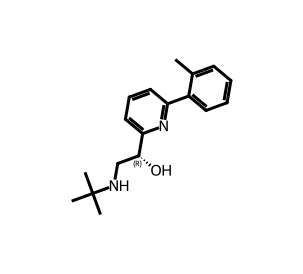 Cc1ccccc1-c1cccc([C@H](O)CNC(C)(C)C)n1